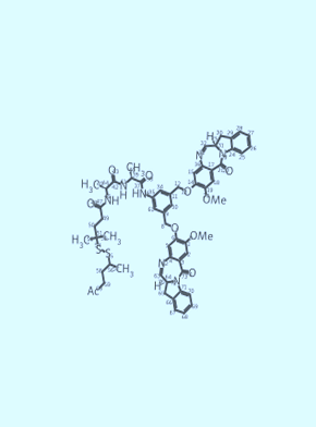 COc1cc2c(cc1OCc1cc(COc3cc4c(cc3OC)C(=O)N3c5ccccc5C[C@H]3C=N4)cc(NC(=O)[C@H](C)NC(=O)[C@H](C)NC(=O)CCC(C)(C)SSC(C)CCC(C)=O)c1)N=C[C@@H]1Cc3ccccc3N1C2=O